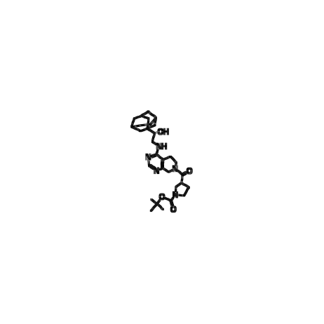 CC(C)(C)OC(=O)N1CCC(C(=O)N2CCc3c(ncnc3NC[C@@H](O)C34CC5CC(CC(C5)C3)C4)C2)C1